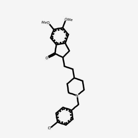 COc1cc2c(cc1OC)C(=O)C(CCC1CCN(Cc3ccc(Cl)cc3)CC1)C2